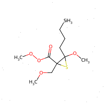 COCC1(C(=O)OOC)SC1(CCC[SiH3])OC